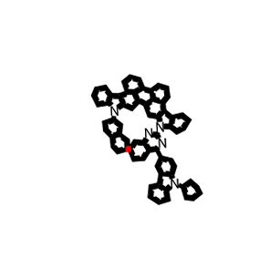 c1ccc(-n2c3ccccc3c3cc(-c4nc(-n5c6ccccc6c6c7cccc8c9cccc%10c9c(cc9c%10c%10ccccc%10n9-c9ccc%10ccccc%10c9)c(cc65)c87)nc5ccccc45)ccc32)cc1